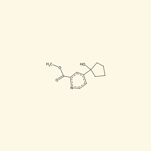 COC(=O)c1cc(C2(O)CCCC2)ccn1